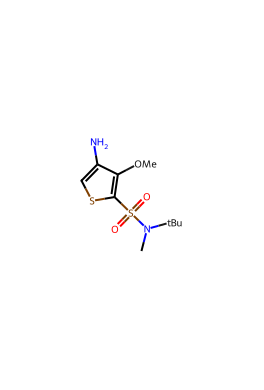 COc1c(N)csc1S(=O)(=O)N(C)C(C)(C)C